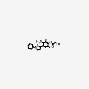 Cc1cc(-c2ccn(-c3ccccc3)n2)c(N)c(C)c1OC(=O)CO